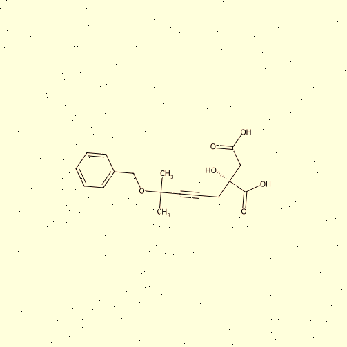 CC(C)(C#CC[C@@](O)(CC(=O)O)C(=O)O)OCc1ccccc1